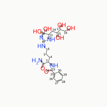 NC(=O)C(CCCNC1=NC(O)(O)C(CC(O)C(O)CO)N1)NC(=O)c1ccccc1